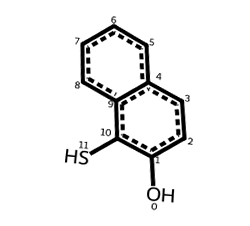 Oc1ccc2ccccc2c1S